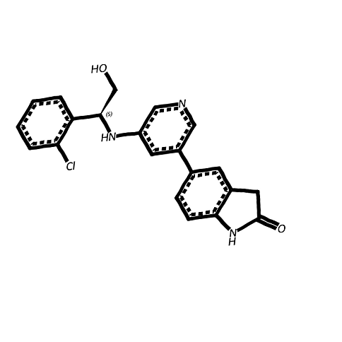 O=C1Cc2cc(-c3cncc(N[C@H](CO)c4ccccc4Cl)c3)ccc2N1